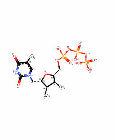 CC(=O)O[C@@H]1[C@H](C)[C@@H](COP(=O)(O)OP(=O)(O)OP(=O)(O)O)O[C@H]1Cn1cc(C)c(=O)[nH]c1=O